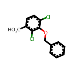 O=C(O)c1ccc(Cl)c(OCc2ccccc2)c1Cl